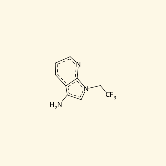 Nc1cn(CC(F)(F)F)c2ncccc12